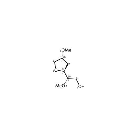 CO[C@H]1CO[C@H]([C@H](CO)OC)C1